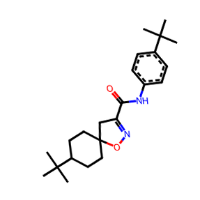 CC(C)(C)c1ccc(NC(=O)C2=NOC3(CCC(C(C)(C)C)CC3)C2)cc1